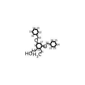 CCc1c(CCO)cc(OCc2ccccc2)cc1OCc1ccccc1